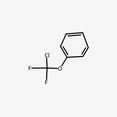 FC(F)(Cl)Oc1c[c]ccc1